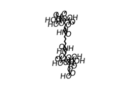 COCC1OC(OC2C(/C=N/NC(=O)CCCCC(=O)NNCC3OC(OC)C(O)C(O)C3OC3OC(COCC(=O)O)C(OC)C(O)C3O)OC(OC)C(O)C2O)C(O)C(O)C1OC